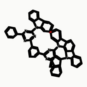 c1ccc(-c2nc(-c3cccc(-c4nc(-c5ccccc5)nc(-n5c6ccccc6c6ccc7c8ccccc8n(-c8ccccc8)c7c65)n4)c3)nc(-n3c4ccccc4c4ccccc43)n2)cc1